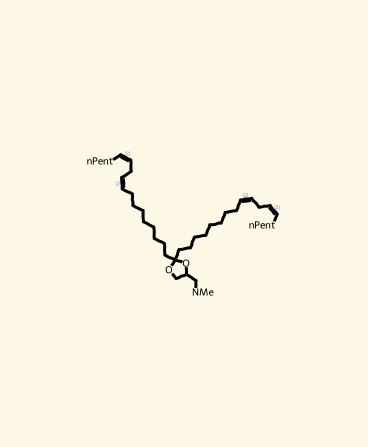 CCCCC/C=C\C/C=C\CCCCCCCCC1(CCCCCCCC/C=C\C/C=C\CCCCC)OCC(CNC)O1